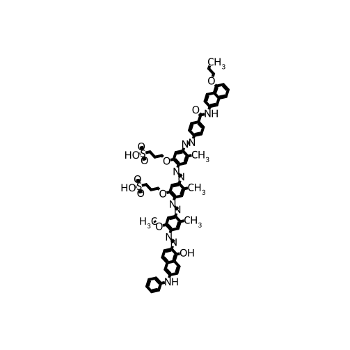 CCCOc1cccc2cc(NC(=O)c3ccc(N=Nc4cc(OCCCS(=O)(=O)O)c(N=Nc5cc(OCCCS(=O)(=O)O)c(N=Nc6cc(OC)c(N=Nc7ccc8cc(Nc9ccccc9)ccc8c7O)cc6C)cc5C)cc4C)cc3)ccc12